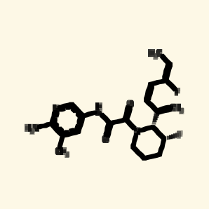 C=C(/C=C\C(F)=C/C)[C@@H]1[C@H](F)CCCN1C(=O)C(=O)Nc1cnc(N)c(C)c1